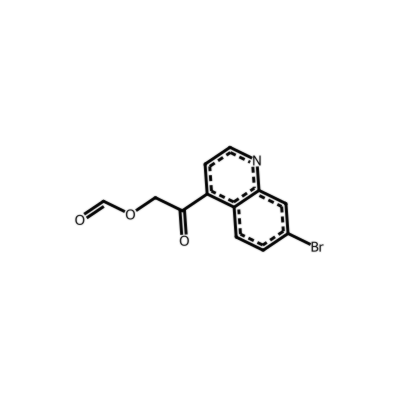 O=COCC(=O)c1ccnc2cc(Br)ccc12